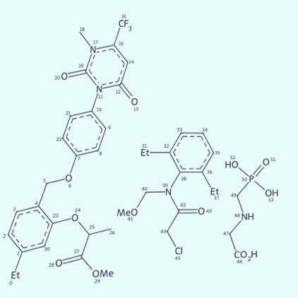 CCc1ccc(COc2ccc(-n3c(=O)cc(C(F)(F)F)n(C)c3=O)cc2)c(OC(C)C(=O)OC)c1.CCc1cccc(CC)c1N(COC)C(=O)CCl.O=C(O)CNCP(=O)(O)O